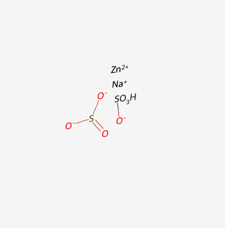 O=S(=O)([O-])O.O=S([O-])[O-].[Na+].[Zn+2]